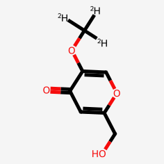 [2H]C([2H])([2H])Oc1coc(CO)cc1=O